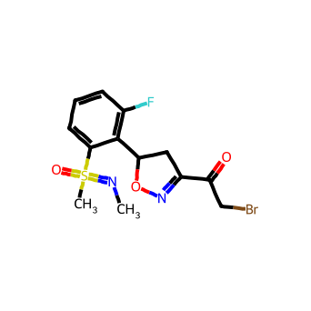 CN=S(C)(=O)c1cccc(F)c1C1CC(C(=O)CBr)=NO1